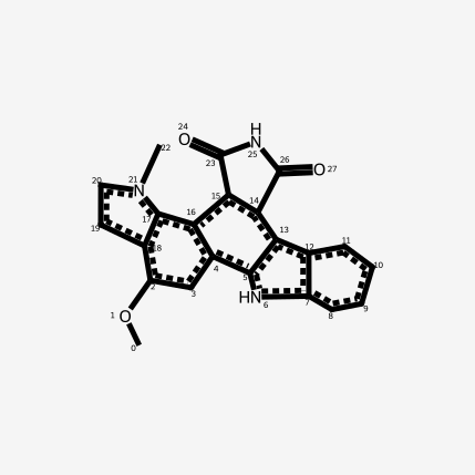 COc1cc2c3[nH]c4ccccc4c3c3c(c2c2c1ccn2C)C(=O)NC3=O